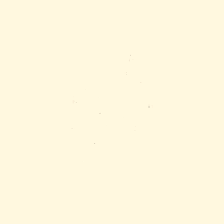 CCOc1c(-c2c[nH]c3ccc(/C(C)=C\C(=O)O)cc23)cc(C(C)C)cc1C(C)C